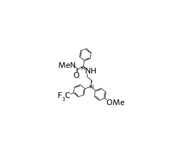 CNC(=O)[C@H](NCC[C@@H](c1ccc(OC)cc1)c1ccc(C(F)(F)F)cc1)c1ccccc1